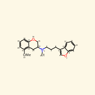 CCN(CCCc1coc2ccccc12)C1COc2cccc(OC)c2C1